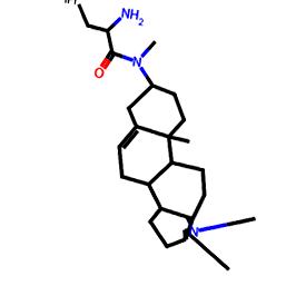 CC(C)CC(N)C(=O)N(C)C1CCC2(C)C(=CCC3C2CCC24CN(C)C(C)C2CCC34)C1